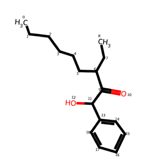 CCCCCCC(CC)C(=O)C(O)c1ccccc1